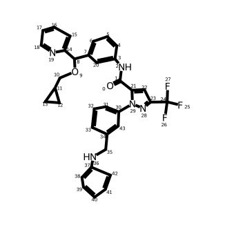 O=C(Nc1cccc(C(OCC2CC2)c2ccccn2)c1)c1cc(C(F)(F)F)nn1-c1cccc(CNc2ccccc2)c1